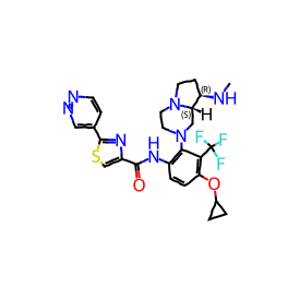 CN[C@@H]1CCN2CCN(c3c(NC(=O)c4csc(-c5ccnnc5)n4)ccc(OC4CC4)c3C(F)(F)F)C[C@@H]12